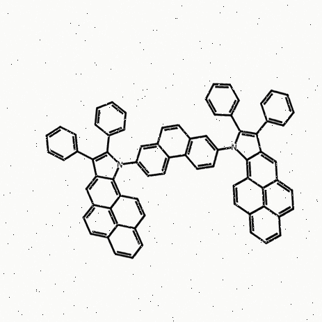 c1ccc(-c2c(-c3ccccc3)n(-c3ccc4c(ccc5cc(-n6c(-c7ccccc7)c(-c7ccccc7)c7cc8ccc9cccc%10ccc(c8c9%10)c76)ccc54)c3)c3c2cc2ccc4cccc5ccc3c2c45)cc1